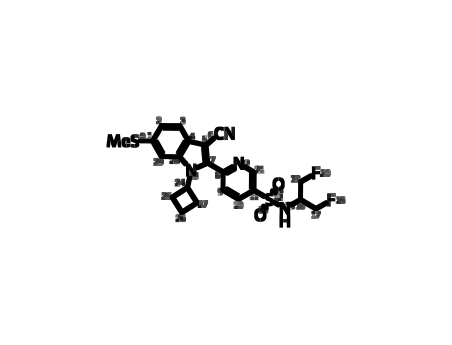 CSc1ccc2c(C#N)c(-c3ccc(S(=O)(=O)NC(CF)CF)cn3)n(C3CCC3)c2c1